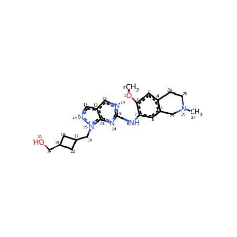 COc1cc2c(cc1Nc1ncc3cnn(CC4CC(CO)C4)c3n1)CN(C)CC2